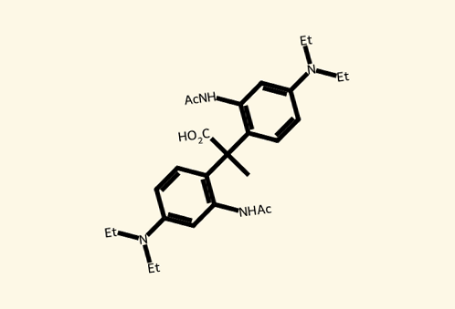 CCN(CC)c1ccc(C(C)(C(=O)O)c2ccc(N(CC)CC)cc2NC(C)=O)c(NC(C)=O)c1